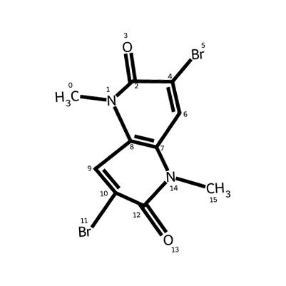 Cn1c(=O)c(Br)cc2c1cc(Br)c(=O)n2C